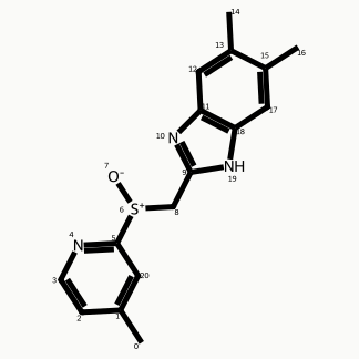 Cc1ccnc([S+]([O-])Cc2nc3cc(C)c(C)cc3[nH]2)c1